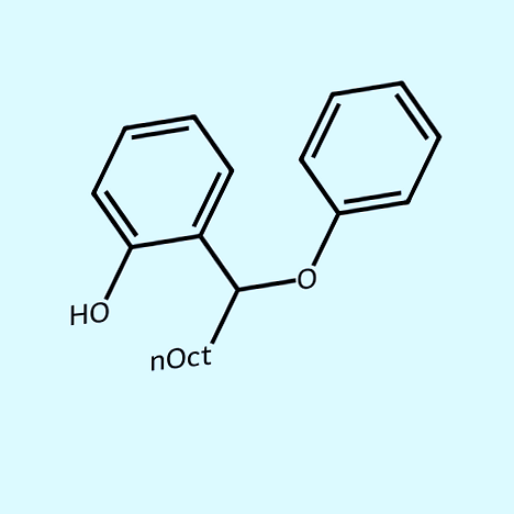 CCCCCCCCC(Oc1ccccc1)c1ccccc1O